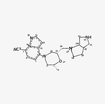 C[C@@H]1CN(c2ccc(C#N)n3nccc23)C[C@H](CN2CCC3CNCC32)O1